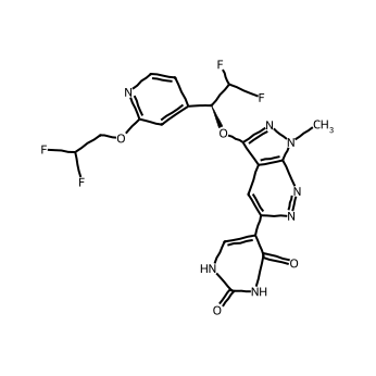 Cn1nc(O[C@@H](c2ccnc(OCC(F)F)c2)C(F)F)c2cc(-c3c[nH]c(=O)[nH]c3=O)nnc21